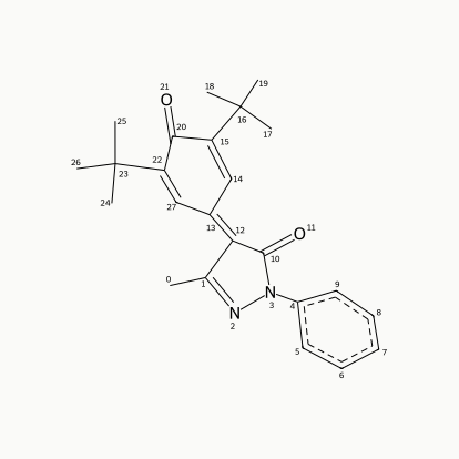 CC1=NN(c2ccccc2)C(=O)C1=C1C=C(C(C)(C)C)C(=O)C(C(C)(C)C)=C1